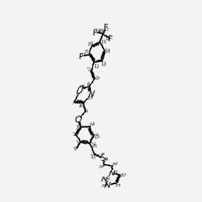 Cc1cc(OCc2coc(/C=C/c3ccc(C(F)(F)F)cc3F)n2)ccc1CSCCn1ccnn1